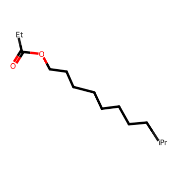 CCC(=O)OCCCCCCCCC(C)C